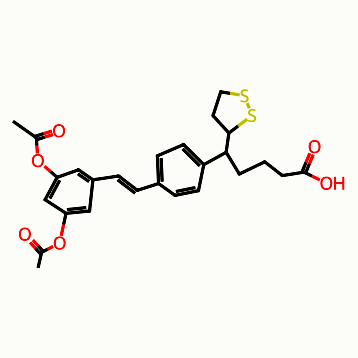 CC(=O)Oc1cc(/C=C/c2ccc(C(CCCC(=O)O)C3CCSS3)cc2)cc(OC(C)=O)c1